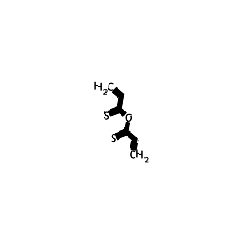 C=CC(=S)OC(=S)C=C